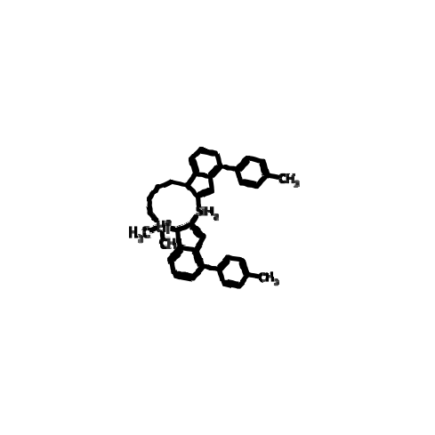 Cc1ccc(-c2cccc3c2C=C2[SiH2]C4=Cc5c(-c6ccc(C)cc6)cccc5[CH]4[Hf]([CH3])([CH3])[CH2]CCCC23)cc1